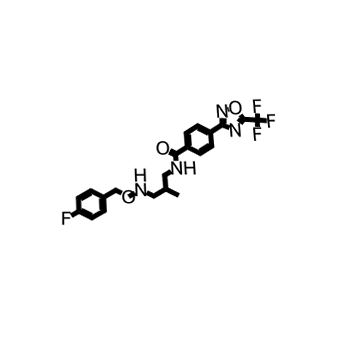 CC(CNOCc1ccc(F)cc1)CNC(=O)c1ccc(-c2noc(C(F)(F)F)n2)cc1